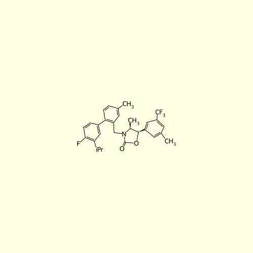 Cc1cc([C@H]2OC(=O)N(Cc3cc(C)ccc3-c3ccc(F)c(C(C)C)c3)[C@H]2C)cc(C(F)(F)F)c1